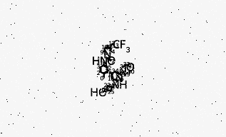 Cc1ccc(NC(=O)N2CC[C@@H](CC(F)(F)F)C2)cc1-c1cc(NC2CC(O)C2)nc(N2CCOCC2)c1